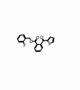 O=C(OCc1ccccc1F)c1ccccc1C(=O)c1cccs1